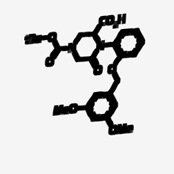 COc1cc(COc2ccccc2N2C(=O)CN(C(=O)OC(C)(C)C)CC2C(=O)O)cc(OC)c1